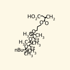 C=C(CC(=O)O)C(=O)OCCCO[Si](C)(C)C(CC)O[Si](C)(C)C(CC)O[Si](C)(C)CCCC